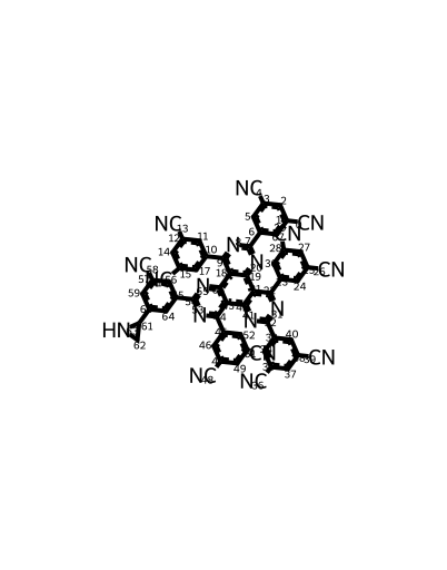 N#Cc1cc(C#N)cc(-c2nc(-c3cc(C#N)cc(C#N)c3)c3c(n2)c2c(-c4cc(C#N)cc(C#N)c4)nc(-c4cc(C#N)cc(C#N)c4)nc2c2c(-c4cc(C#N)cc(C#N)c4)nc(-c4cc(C#N)cc(C5CN5)c4)nc32)c1